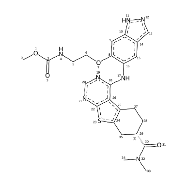 COC(=O)NCCOc1cc2[nH]ncc2cc1Nc1ncnc2sc3c(c12)CC[C@H](C(=O)N(C)C)C3